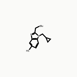 CC(C)(C)Cc1nc2cc(S)ccc2n1CC1CC1